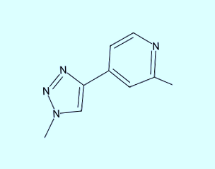 Cc1cc(-c2cn(C)nn2)ccn1